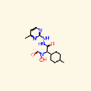 Cc1ccnc(NNC(=O)C(C2CCC(C)CC2)N(O)C=O)n1